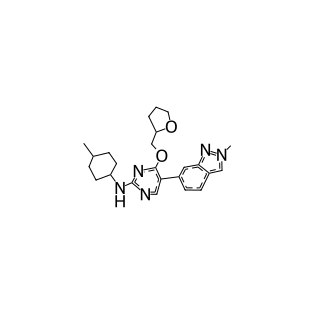 CC1CCC(Nc2ncc(-c3ccc4cn(C)nc4c3)c(OCC3CCCO3)n2)CC1